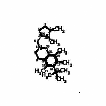 C=C1CC[C@@H](CN2CCc3c(C)c(C(C)(C)C)c(C)c(C)c3C2)N1C